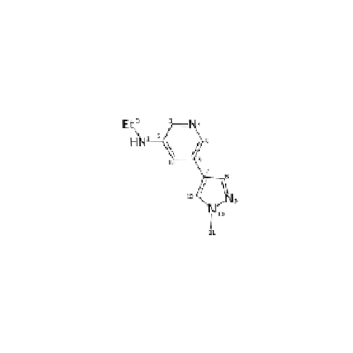 CCNc1cncc(-c2cnn(C)c2)c1